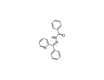 O=C(N/N=C(/c1ccccc1)c1ccccn1)c1ccccc1